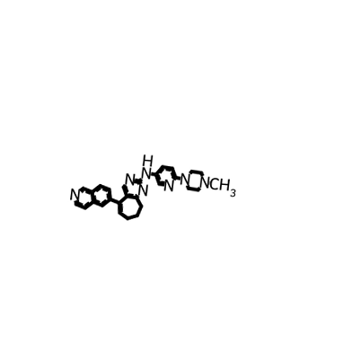 CN1CCN(c2ccc(Nc3ncc4c(n3)CCCC=C4c3ccc4cnccc4c3)cn2)CC1